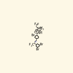 C[C@@H](NC(=O)c1ccc(/C=C/C(c2cc(Br)cc(Br)c2)C(F)(F)F)cc1Br)C(=O)NCC(F)F